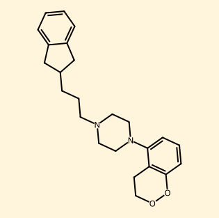 c1ccc2c(c1)CC(CCCN1CCN(c3cccc4c3CCOO4)CC1)C2